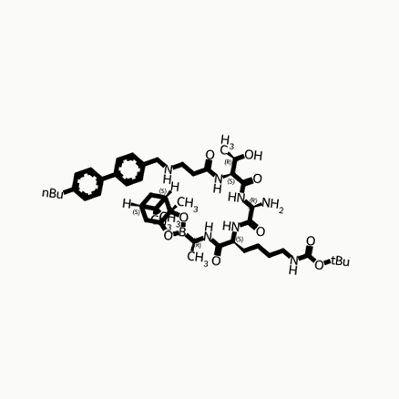 CCCCc1ccc(-c2ccc(CNCCC(=O)N[C@H](C(=O)N[C@@H](N)C(=O)N[C@@H](CCCCNC(=O)OC(C)(C)C)C(=O)N[C@@H](C)B3OC4C[C@@H]5C[C@@H](C5(C)C)[C@]4(C)O3)[C@@H](C)O)cc2)cc1